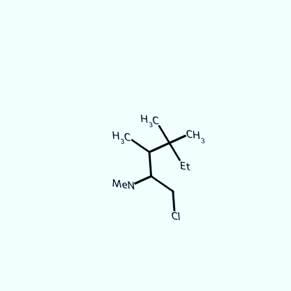 CCC(C)(C)C(C)C(CCl)NC